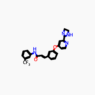 O=C(C=Cc1cccc(Oc2ccnc(C3=NCCN3)c2)c1)Nc1cccc(C(F)(F)F)c1